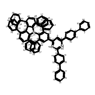 c1ccc(-c2ccc(-c3cc(-c4cc(-c5ccccc5)c(-n5c6c(-c7ccccc7)ccc(-c7ccccc7)c6c6c(-c7ccccc7)ccc(-c7ccccc7)c65)c(-c5ccccc5)c4)nc(-c4ccc(-c5ccccc5)cc4)n3)cc2)cc1